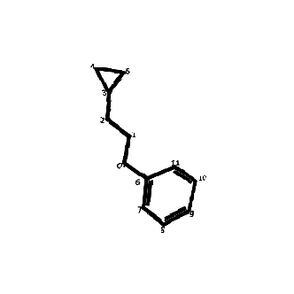 [CH](CCC1CC1)c1ccccc1